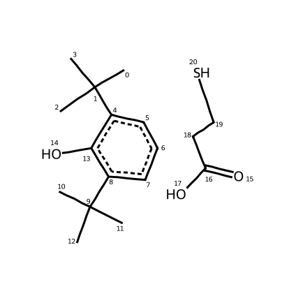 CC(C)(C)c1cccc(C(C)(C)C)c1O.O=C(O)CCS